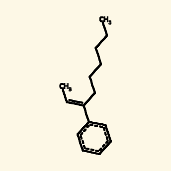 CC=C(CCCCCC)c1ccccc1